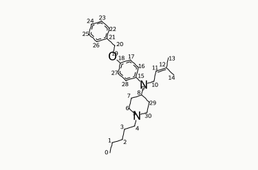 CCCCCN1CCC(N(CC=C(C)C)c2ccc(OCc3ccccc3)cc2)CC1